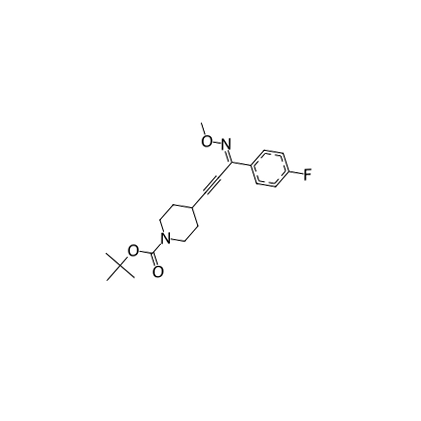 CON=C(C#CC1CCN(C(=O)OC(C)(C)C)CC1)c1ccc(F)cc1